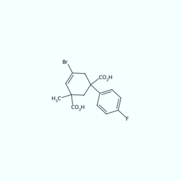 CC1(C(=O)O)C=C(Br)CC(C(=O)O)(c2ccc(F)cc2)C1